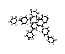 c1ccc(-c2ccc(B3c4ccccc4N4c5ccccc5B(c5ccc(-c6ccccc6)cc5)c5cc(-c6ccccc6)cc3c54)cc2)cc1